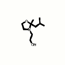 CC(C)CC1(C)OCCN1CCO